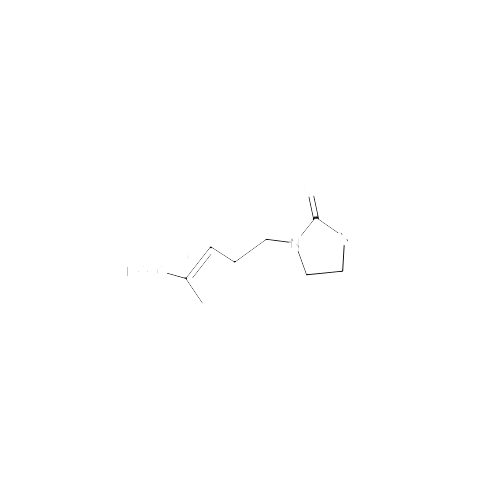 C/C(=C\CCN1CCNC1=O)C(=O)O